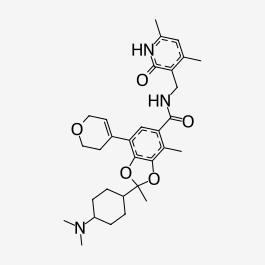 Cc1cc(C)c(CNC(=O)c2cc(C3=CCOCC3)c3c(c2C)OC(C)(C2CCC(N(C)C)CC2)O3)c(=O)[nH]1